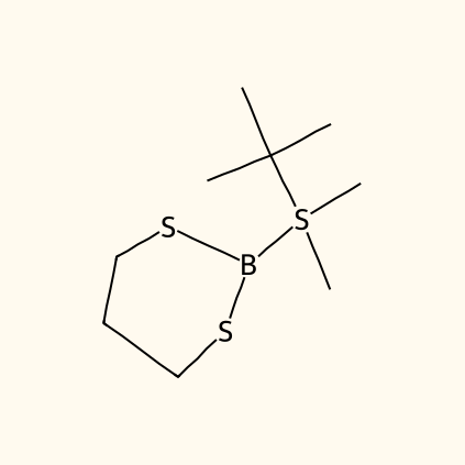 CC(C)(C)S(C)(C)B1SCCCS1